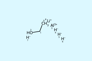 CCO.[Al+3].[H-].[H-].[H-].[H-].[Li+]